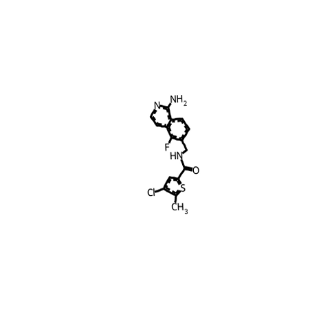 Cc1sc(C(=O)NCc2ccc3c(N)nccc3c2F)cc1Cl